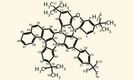 CC(C)(C)c1ccc2c(c1)Oc1cc(C(C)(C)C)cc3c1N2c1cc(-c2ccc(C(F)(F)F)cc2)cc2c1B3c1cc3ccc4ccccc4c3c3c4ccc(C(C)(C)C)cc4n-2c13